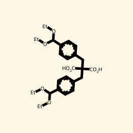 CCOC(OCC)c1ccc(CC(Cc2ccc(C(OCC)OCC)cc2)(C(=O)O)C(=O)O)cc1